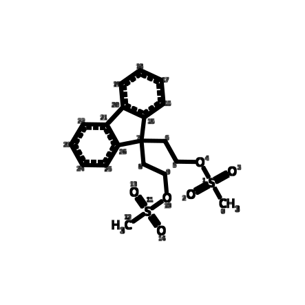 CS(=O)(=O)OCCC1(CCOS(C)(=O)=O)c2ccccc2-c2ccccc21